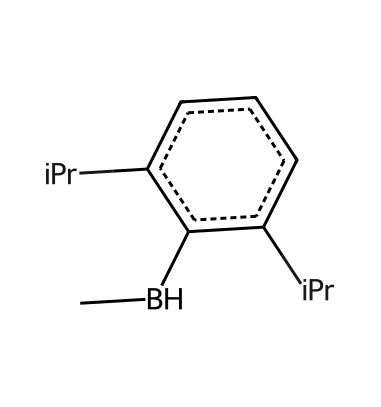 CBc1c(C(C)C)cccc1C(C)C